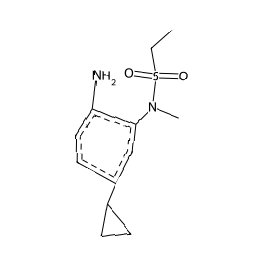 CCS(=O)(=O)N(C)c1cc(C2CC2)ccc1N